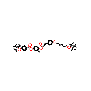 Cc1cc(OC(=O)c2ccc(O[Si](C(C)C)(C(C)C)C(C)C)cc2)ccc1OC(=O)/C=C/c1ccc(OCCCCCCO[Si](C(C)C)(C(C)C)C(C)C)cc1